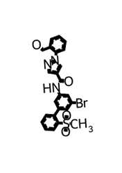 CS(=O)(=O)c1ccccc1-c1cc(Br)cc(NC(=O)c2cnn(-c3ccccc3C=O)c2)c1